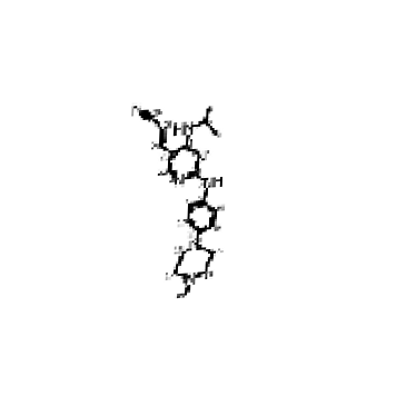 CC(C)Nc1nc(Nc2ccc(N3CCN(C)CC3)cc2)ncc1C=CC#N